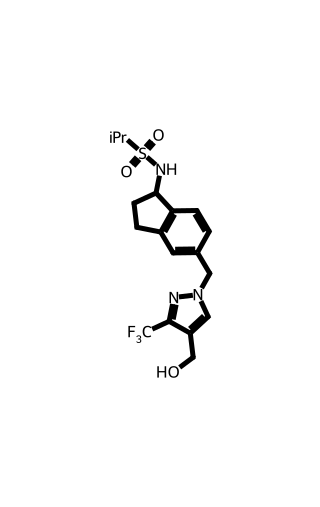 CC(C)S(=O)(=O)NC1CCc2cc(Cn3cc(CO)c(C(F)(F)F)n3)ccc21